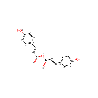 O=C(C=Cc1ccc(O)cc1)OC(=O)C=Cc1ccc(O)cc1